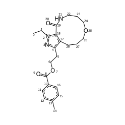 CCn1nc(CCOC(=O)c2ccc(C)cc2)c2c1C(=O)NCCCOCCC2